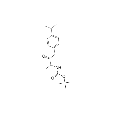 CC(NC(=O)OC(C)(C)C)C(=O)Cc1ccc(C(C)C)cc1